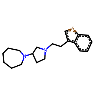 c1ccc2c(CCN3CCC(N4CCCCCC4)C3)csc2c1